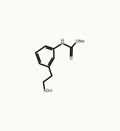 CCCCCCCCCCc1cccc(NC(=O)OC)c1